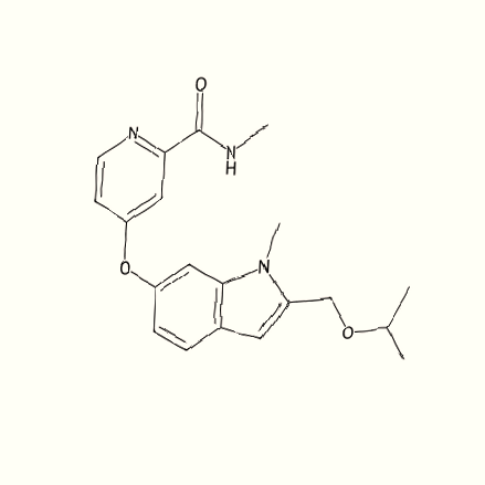 CNC(=O)c1cc(Oc2ccc3cc(COC(C)C)n(C)c3c2)ccn1